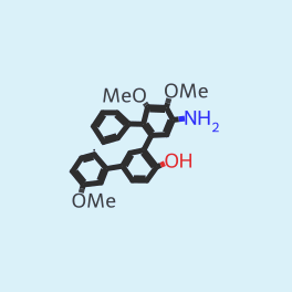 COc1cc[c]c(-c2ccc(O)c(-c3cc(N)c(OC)c(OC)c3-c3ccccc3)c2)c1